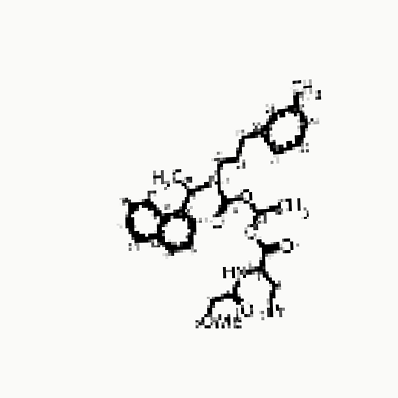 COCC(=O)NC(CC(C)C)C(=O)OC(C)OC(=O)N(CCCc1cccc(C)c1)[C@H](C)c1cccc2ccccc12